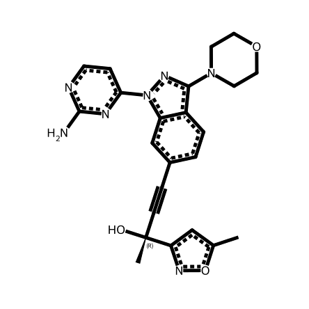 Cc1cc([C@](C)(O)C#Cc2ccc3c(N4CCOCC4)nn(-c4ccnc(N)n4)c3c2)no1